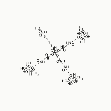 CC(=O)NC1C(OCCCCC(=O)NCCCNC(=O)CCOCC(COCCC(=O)NCCCNC(=O)CCCCOC2OC(CO)C(O)C(O)C2NC(C)=O)(COCCC(=O)NCCCNC(=O)CCCCOC2OC(CO)C(O)C(O)C2NC(C)=O)NC(=O)CCCCCCCCCCC(=O)N2C[C@H](O)CC2C)OC(CO)C(O)C1O